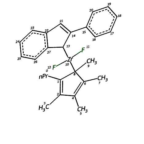 CCCC1=C(C)C(C)=C(C)[C]1(C)[Zr]([F])([F])[CH]1C(c2ccccc2)=Cc2ccccc21